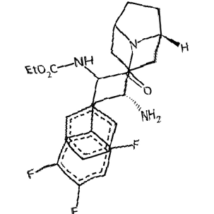 CCOC(=O)NC(C(=O)N1C2CC[C@@H]1CC([C@H](N)Cc1cc(F)c(F)cc1F)C2)c1ccccc1